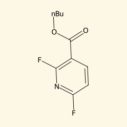 CCCCOC(=O)c1ccc(F)nc1F